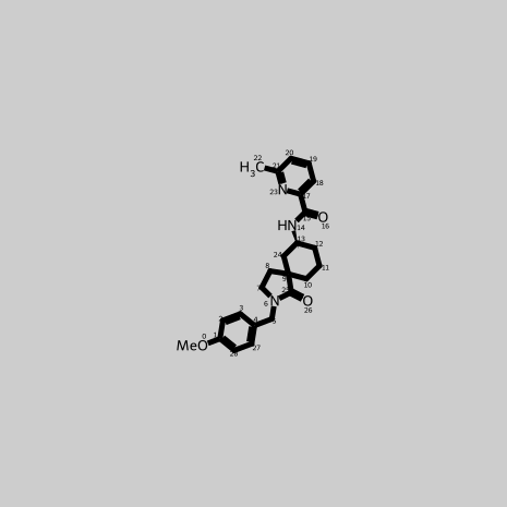 COc1ccc(CN2CCC3(CCC[C@H](NC(=O)c4cccc(C)n4)C3)C2=O)cc1